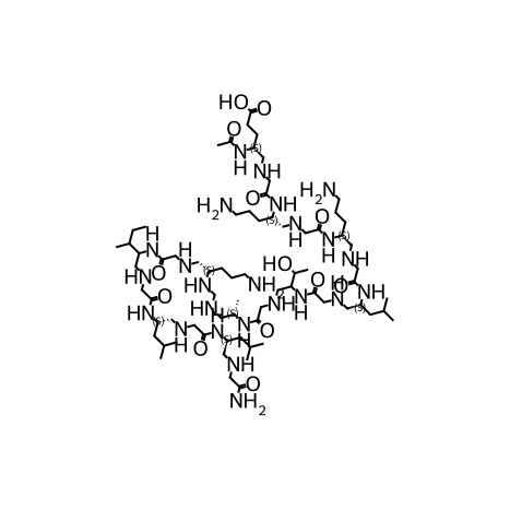 CCC(C)C(CNCC(=O)N[C@H](CNCC(=O)N[C@H](CNCC(N)=O)CC(C)C)CC(C)C)NC(=O)CNC[C@H](CCCN)NCNC[C@H](C)NC(=O)CNCC(NC(=O)CNC[C@H](CC(C)C)NC(=O)CNC[C@H](CCCN)NC(=O)CNC[C@H](CCCN)NC(=O)CNC[C@H](CCC(=O)O)NC(C)=O)C(C)O